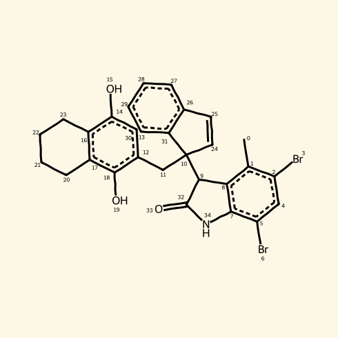 Cc1c(Br)cc(Br)c2c1C(C1(Cc3cc(O)c4c(c3O)CCCC4)C=Cc3ccccc31)C(=O)N2